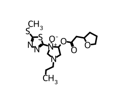 CCCN1CC(OC(=O)CC2CCCO2)[N+]([O-])(c2nnc(SC)s2)C1